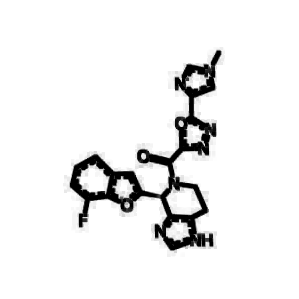 Cn1cnc(-c2nnc(C(=O)N3CCc4[nH]cnc4[C@H]3c3cc4cccc(F)c4o3)o2)c1